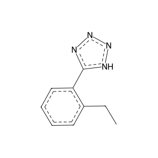 CCc1ccccc1-c1nnn[nH]1